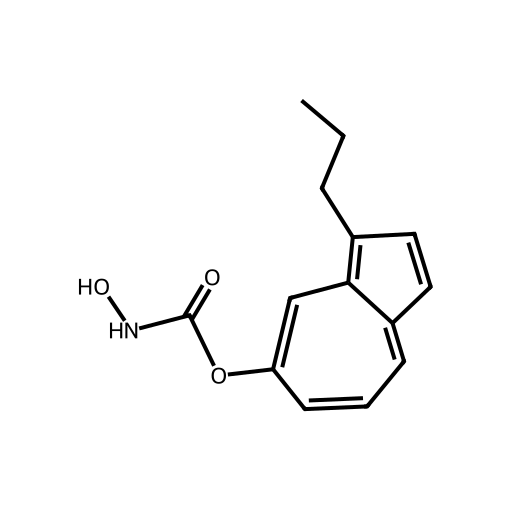 CCCc1ccc2cccc(OC(=O)NO)cc1-2